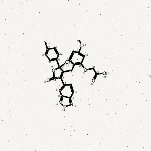 COc1ccc(CC2=C(c3ccc4nsnc4c3)C(=O)OC2(O)c2ccc(C)cc2)c(OCC(=O)O)c1